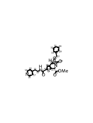 COC(=O)[C@@H]1c2sc(C(=O)NCCc3ccncc3)cc2[C@@H]2CN1C(=O)N2OCc1ccccc1